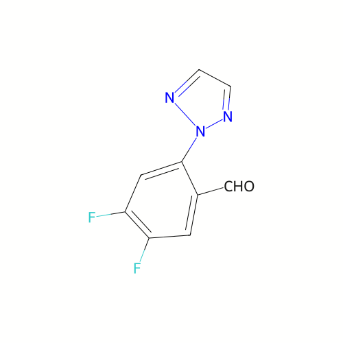 O=Cc1cc(F)c(F)cc1-n1nccn1